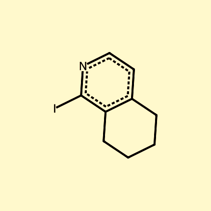 Ic1nccc2c1CCCC2